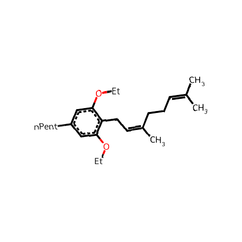 CCCCCc1cc(OCC)c(CC=C(C)CCC=C(C)C)c(OCC)c1